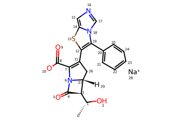 C[C@@H](O)[C@H]1C(=O)N2C(C(=O)[O-])=C(c3sc4cncn4c3-c3ccccc3)C[C@H]12.[Na+]